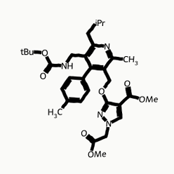 COC(=O)Cn1cc(C(=O)OC)c(OCc2c(C)nc(CC(C)C)c(CNC(=O)OC(C)(C)C)c2-c2ccc(C)cc2)n1